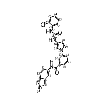 Cn1cc2cc(NC(=O)c3cccc(-n4cc(NC(=O)Nc5ccccc5Cl)cn4)c3)ccc2n1